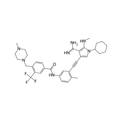 CNc1c(C(=N)N)c(C#Cc2cc(NC(=O)c3ccc(CN4CCN(C)CC4)c(C(F)(F)F)c3)ccc2C)cn1C1CCCCC1